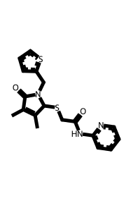 CC1=C(C)C(SCC(=O)Nc2ccccn2)N(Cc2cccs2)C1=O